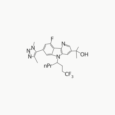 CCCC(CCC(F)(F)F)n1c2cc(C(C)(C)O)cnc2c2c(F)cc(-c3c(C)nnn3C)cc21